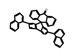 O=C1c2ccccc2C2(c3ccccc31)c1cc(-c3cccc4ccccc34)ccc1-c1ccc(-c3cccc4ccccc34)cc12